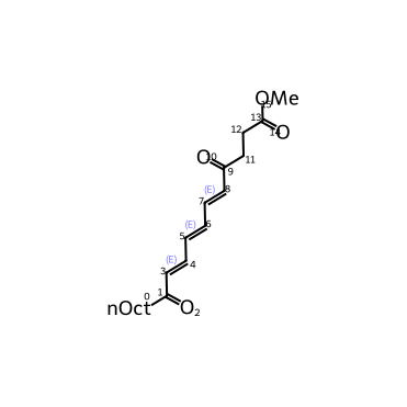 CCCCCCCCC(=O)/C=C/C=C/C=C/C(=O)CCC(=O)OC